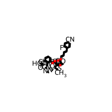 C[C@@H](S[C@H]1CO[C@H](/C=C/C=C/c2ccc(C#N)cc2F)OC1)[C@@](Cn1cncn1)(OC(=O)c1cccc(Cl)c1COP(=O)(O)O)c1ccc(F)cc1F